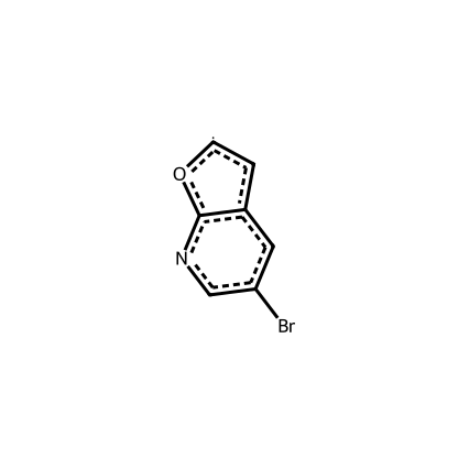 Brc1cnc2o[c]cc2c1